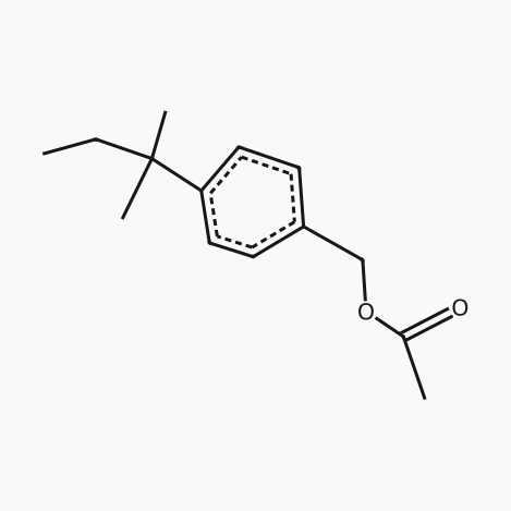 CCC(C)(C)c1ccc(COC(C)=O)cc1